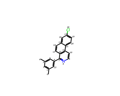 Cc1cc(C)cc(-c2nccc3c2ccc2cc(Cl)ccc23)c1